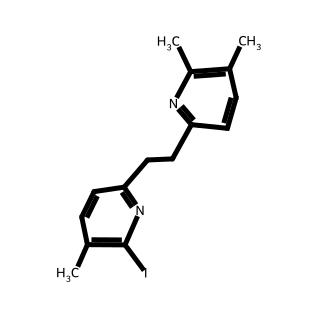 Cc1ccc(CCc2ccc(C)c(I)n2)nc1C